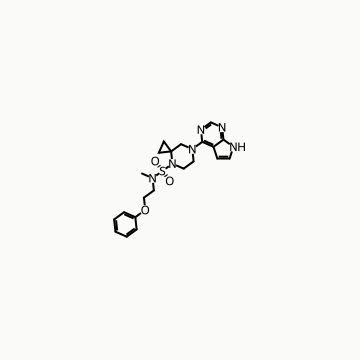 CN(CCOc1ccccc1)S(=O)(=O)N1CCN(c2ncnc3[nH]ccc23)CC12CC2